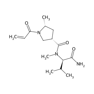 C=CC(=O)N1C[C@@H](C(=O)N(C)[C@@H](C(N)=O)C(C)C)C[C@H]1C